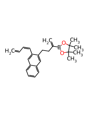 C=C/C=C\c1cc2ccccc2cc1CCC(=C)B1OC(C)(C)C(C)(C)O1